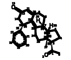 CC(=O)[C@H]1CC[C@H]2[C@@H]3CCC4=CC(=O)C[C@@H](c5ccccc5)C4=C3CC[C@]12C